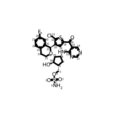 NS(=O)(=O)OC[C@H]1C[C@@H](Nc2ncncc2C(=O)c2cc([C@H]3OCCc4ccc(F)cc43)c(Cl)s2)C[C@@H]1O